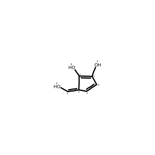 OC=C1C=CC(O)=C1O